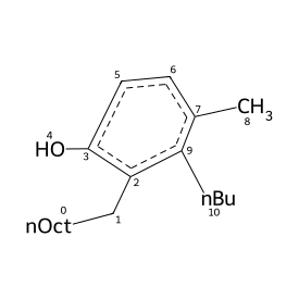 CCCCCCCCCc1c(O)ccc(C)c1CCCC